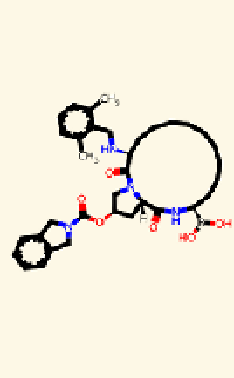 Cc1cccc(C)c1CN[C@H]1CCCCCCCCC[C@@H](B(O)O)NC(=O)[C@@H]2C[C@@H](OC(=O)N3Cc4ccccc4C3)CN2C1=O